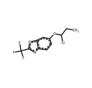 CCC(Cl)Oc1ccc2nc(C(F)(F)F)oc2c1